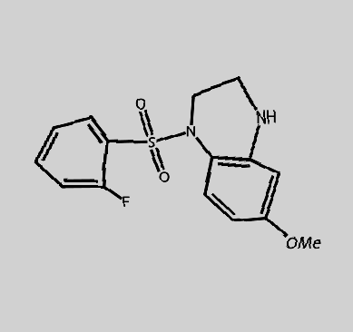 COc1ccc2c(c1)NCCN2S(=O)(=O)c1ccccc1F